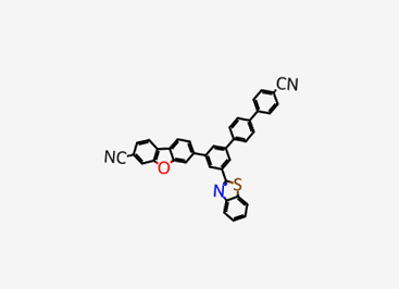 N#Cc1ccc(-c2ccc(-c3cc(-c4ccc5c(c4)oc4cc(C#N)ccc45)cc(-c4nc5ccccc5s4)c3)cc2)cc1